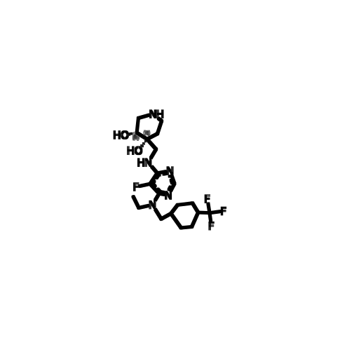 CCN(CC1CCC(C(F)(F)F)CC1)c1ncnc(NC[C@]2(O)CCNC[C@H]2O)c1F